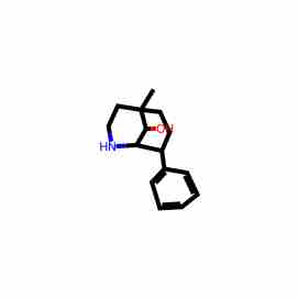 CC12CCNC(C(c3ccccc3)CC1)C2O